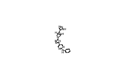 c1ccc(Nc2ncc(-c3nnc(N4C[C@@H]5C(c6cnn[nH]6)[C@@H]5C4)o3)cn2)cc1